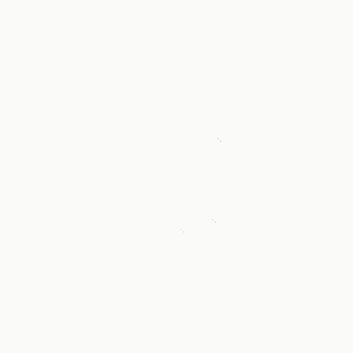 Cc1ccc(-n2c3ccccc3c3c(-c4cc(-c5cccc6c5sc5ccccc56)nc(-c5ccccc5)n4)cccc32)cc1